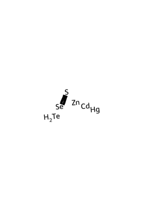 S=[Se].[Cd].[Hg].[TeH2].[Zn]